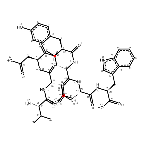 CC(C)C[C@H](NC(=O)[C@H](Cc1ccc(O)cc1)NC(=O)[C@H](CC(=O)O)NC(=O)[C@H](CC(N)=O)NC(=O)[C@@H](N)C(C)C)C(=O)N[C@@H](CC(N)=O)C(=O)N[C@@H](Cc1c[nH]c2ccccc12)C(=O)O